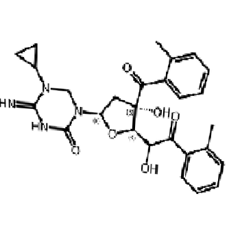 Cc1ccccc1C(=O)C(O)[C@H]1O[C@@H](N2CN(C3CC3)C(=N)NC2=O)C[C@@]1(O)C(=O)c1ccccc1C